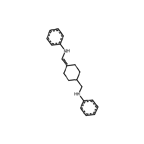 C(Nc1ccccc1)=C1CCC(CNc2ccccc2)CC1